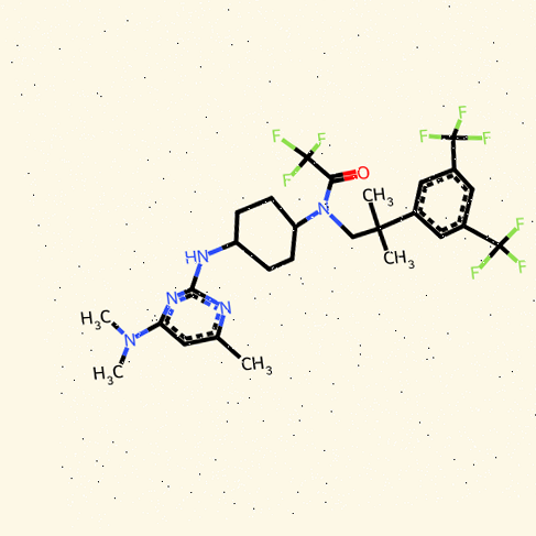 Cc1cc(N(C)C)nc(NC2CCC(N(CC(C)(C)c3cc(C(F)(F)F)cc(C(F)(F)F)c3)C(=O)C(F)(F)F)CC2)n1